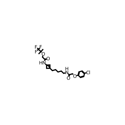 CC(C)(OCC(=O)NC12CC(CCCCCNC(=O)COc3ccc(Cl)cc3)(C1)C2)C(F)(F)F